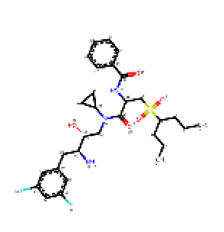 CCCC(CCC)S(=O)(=O)CC(NC(=O)c1ccccc1)C(=O)N(C[C@@H](O)[C@@H](N)Cc1cc(F)cc(F)c1)C1CC1